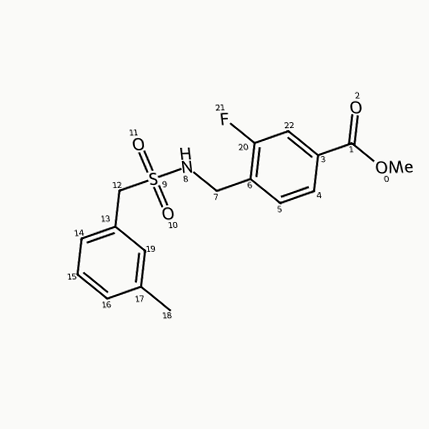 COC(=O)c1ccc(CNS(=O)(=O)Cc2cccc(C)c2)c(F)c1